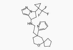 FC(F)(F)C1(C2CC(NCCC3(c4ccccn4)CCOC4(CCCC4)C3)c3ccnn32)CC1